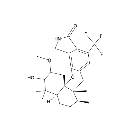 COC1C[C@@]23Oc4c(cc(C(F)(F)F)c5c4CNC5=O)C[C@]2(C)[C@@H](C)CC[C@H]3C(C)(C)C1O